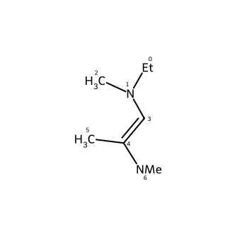 CCN(C)C=C(C)NC